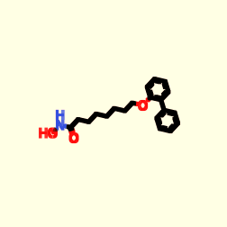 O=C(CCCCCCCOc1ccccc1-c1ccccc1)NO